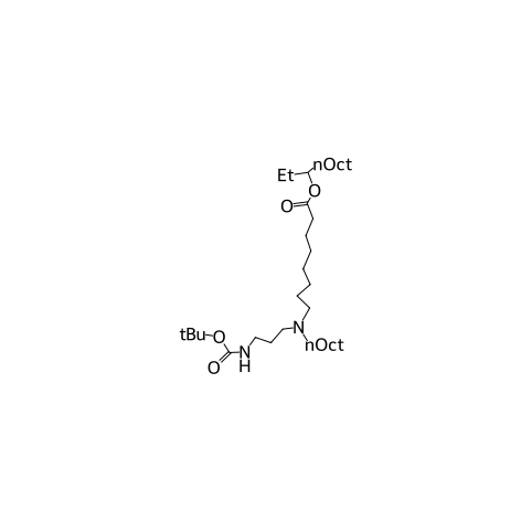 CCCCCCCCC(CC)OC(=O)CCCCCCCN(CCCCCCCC)CCCNC(=O)OC(C)(C)C